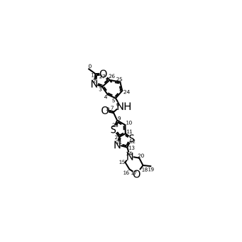 Cc1nc2cc(NC(=O)c3cc4sc(N5CCOC(C)C5)nc4s3)ccc2o1